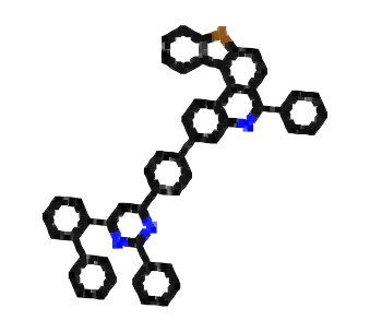 c1ccc(-c2nc(-c3ccc(-c4ccc5c(c4)nc(-c4ccccc4)c4ccc6sc7ccccc7c6c45)cc3)cc(-c3ccccc3-c3ccccc3)n2)cc1